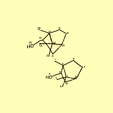 CC1(C)C2CCC1(C)C(O)C2.CC1(C)C2CCC1(C)C(O)C2